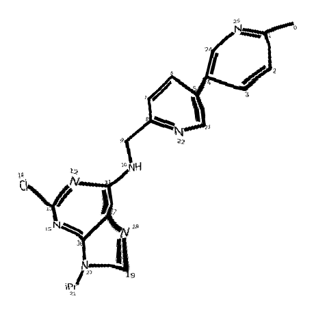 Cc1ccc(-c2ccc(CNc3nc(Cl)nc4c3ncn4C(C)C)nc2)cn1